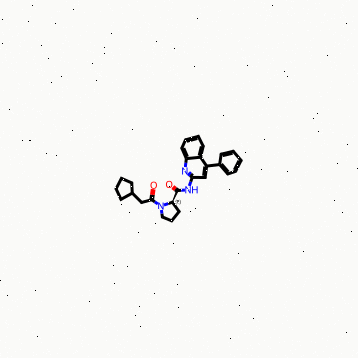 O=C(Nc1cc(-c2ccccc2)c2ccccc2n1)[C@H]1CCCN1C(=O)CC1CCCC1